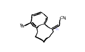 N#C/C=C1/CCCc2c(Br)cccc21